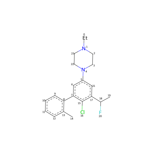 CCN1CCN(c2cc(-c3ccccc3C)c(Cl)c(C(C)F)c2)CC1